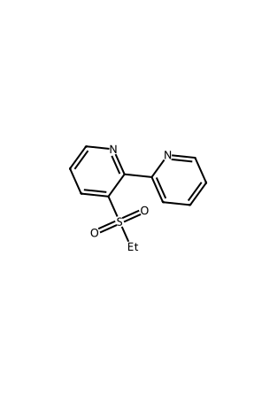 CCS(=O)(=O)c1cccnc1-c1ccccn1